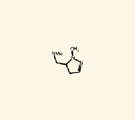 CNCC1CC=NN1C